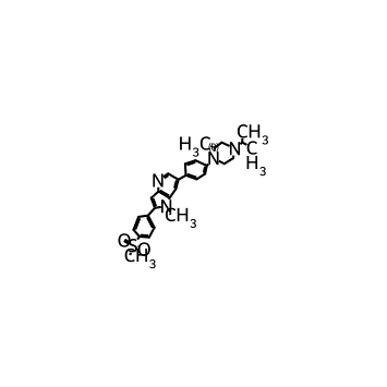 CC(C)N1CCN(c2ccc(-c3cnc4cc(-c5ccc(S(C)(=O)=O)cc5)n(C)c4c3)cc2)[C@H](C)C1